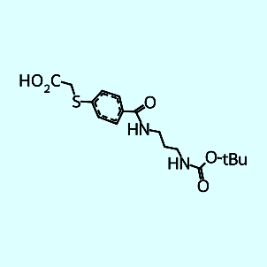 CC(C)(C)OC(=O)NCCCNC(=O)c1ccc(SCC(=O)O)cc1